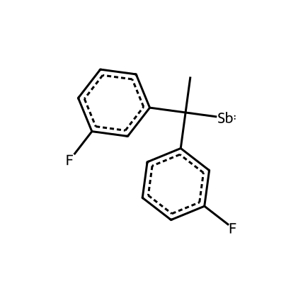 C[C]([Sb])(c1cccc(F)c1)c1cccc(F)c1